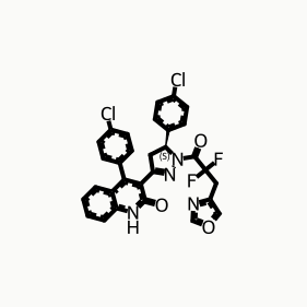 O=C(N1N=C(c2c(-c3ccc(Cl)cc3)c3ccccc3[nH]c2=O)C[C@H]1c1ccc(Cl)cc1)C(F)(F)Cc1cocn1